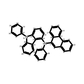 c1ccc(N(c2cc3ccccc3c3ccccc23)c2cccc3c2c2ccccc2n3-c2ccccc2)cc1